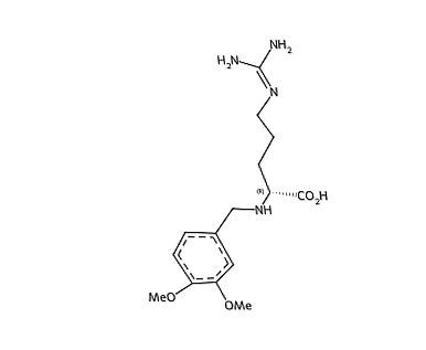 COc1ccc(CN[C@H](CCCN=C(N)N)C(=O)O)cc1OC